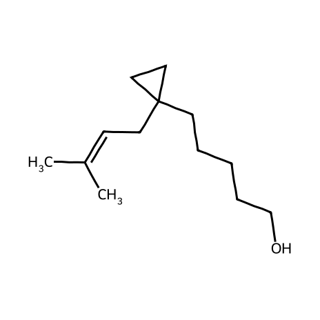 CC(C)=CCC1(CCCCCO)CC1